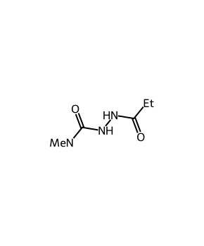 CCC(=O)NNC(=O)NC